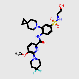 COc1ccc(C(=O)Nc2ccc(S(=O)(=O)NCCO)cc2N2CCC3(CC2)CC3)nc1N1CCC(F)(F)CC1